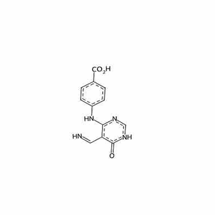 N=Cc1c(Nc2ccc(C(=O)O)cc2)nc[nH]c1=O